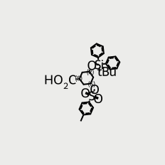 Cc1ccc(S(=O)(=O)O[C@@H]2C[C@H](O[Si](c3ccccc3)(c3ccccc3)C(C)(C)C)C[C@H](C(=O)O)C2)cc1